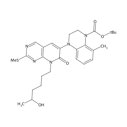 CSc1ncc2cc(N3CCN(C(=O)OC(C)(C)C)c4c(C)cccc43)c(=O)n(CCCCC(C)O)c2n1